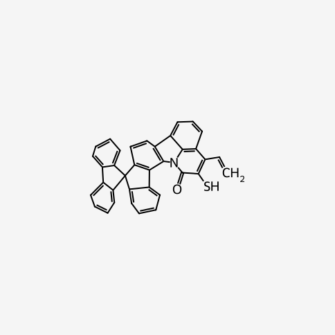 C=Cc1c(S)c(=O)n2c3c4c(ccc3c3cccc1c32)C1(c2ccccc2-c2ccccc21)c1ccccc1-4